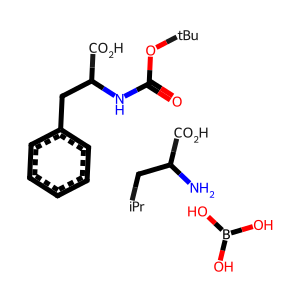 CC(C)(C)OC(=O)NC(Cc1ccccc1)C(=O)O.CC(C)CC(N)C(=O)O.OB(O)O